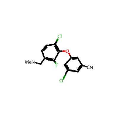 CNCc1ccc(Cl)c(Oc2cc(Cl)cc(C#N)c2)c1F